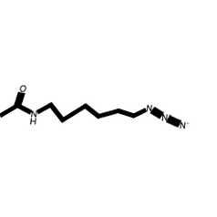 CC(=O)NCCCCCCN=[N+]=[N-]